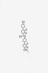 CCC1CCC(C2CCC(C(CC)OC3CCC(C4CCC(C)C(F)C4F)CC3)C(F)C2F)CC1